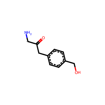 N[CH]C(=O)Cc1ccc(CO)cc1